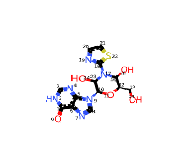 O=c1[nH]cnc2c1ncn2[C@@H]1O[C@H](CO)C(O)N(c2nccs2)C1O